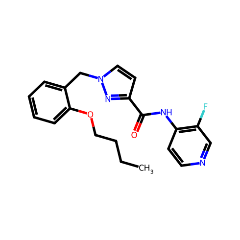 CCCCOc1ccccc1Cn1ccc(C(=O)Nc2ccncc2F)n1